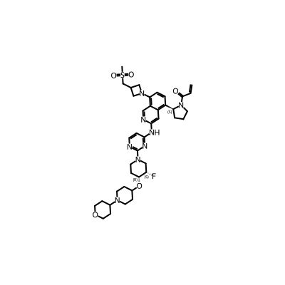 C=CC(=O)N1CCC[C@H]1c1ccc(N2CC(CS(C)(=O)=O)C2)c2cnc(Nc3ccnc(N4CC[C@@H](OC5CCN(C6CCOCC6)CC5)[C@@H](F)C4)n3)cc12